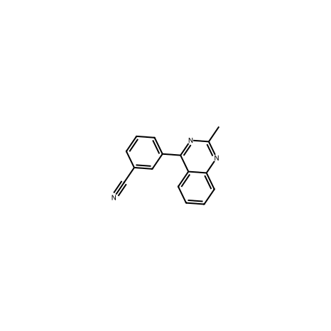 Cc1nc(-c2cccc(C#N)c2)c2ccccc2n1